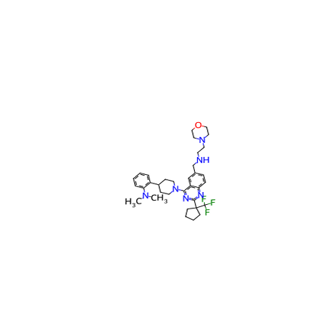 CN(C)c1ccccc1C1CCN(c2nc(C3(C(F)(F)F)CCCC3)nc3ccc(CNCCN4CCOCC4)cc23)CC1